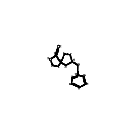 O=C1OCCC12CCN(Cc1ccccc1)C2